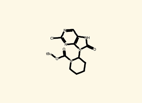 CC(C)(C)OC(=O)N1CCCCC1n1c(=O)[nH]c2cnc(Cl)nc21